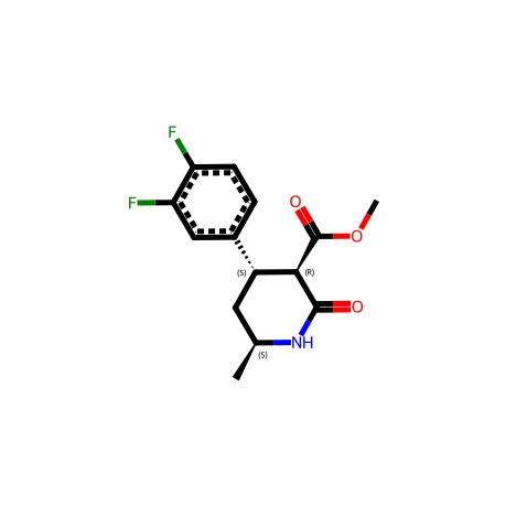 COC(=O)[C@H]1C(=O)N[C@@H](C)C[C@@H]1c1ccc(F)c(F)c1